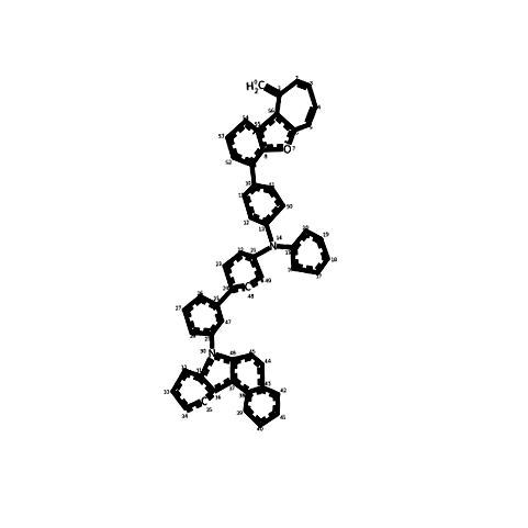 C=C1C=CC=Cc2oc3c(-c4ccc(N(c5ccccc5)c5ccc(-c6cccc(-n7c8ccccc8c8c9ccccc9ccc87)c6)cc5)cc4)cccc3c21